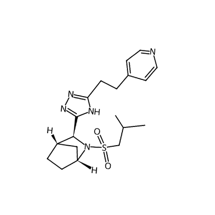 CC(C)CS(=O)(=O)N1[C@@H]2CC[C@@H](C2)[C@H]1c1nnc(CCc2ccncc2)[nH]1